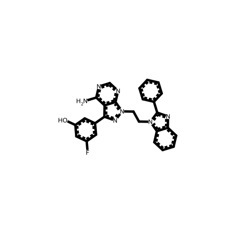 Nc1ncnc2c1c(-c1cc(O)cc(F)c1)nn2CCn1c(-c2ccccc2)nc2ccccc21